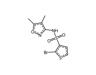 Cc1onc(NS(=O)(=O)c2ccsc2Br)c1C